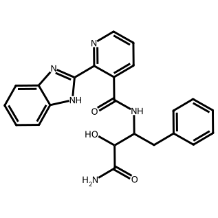 NC(=O)C(O)C(Cc1ccccc1)NC(=O)c1cccnc1-c1nc2ccccc2[nH]1